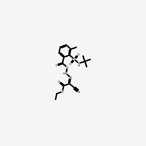 CCOC(=O)C(C#N)=NNOC(=O)c1cccc(C)c1S(=O)(=O)NC(C)(C)C